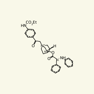 CCOC(=O)Nc1ccc(C(=O)C[N+]23CCC(CC2)[C@@H](OC(=O)[C@H](Nc2ccccc2)c2ccccc2)C3)cc1